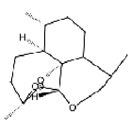 CC1CO[C@@H]2O[C@]3(C)CC[C@H]4[C@H](C)CCC1[C@@]24OO3